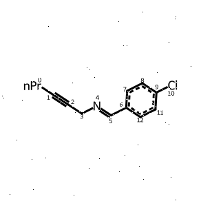 CCCC#CCN=Cc1ccc(Cl)cc1